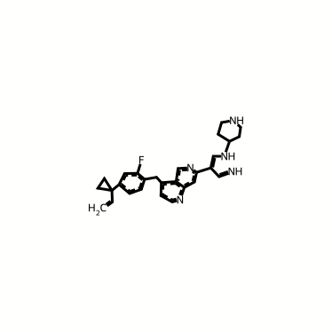 C=CC1(c2ccc(Cc3ccnc4cc(/C(C=N)=C/NC5CCNCC5)ncc34)c(F)c2)CC1